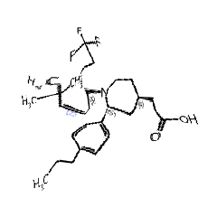 CCCc1ccc([C@@H]2C[C@H](CC(=O)O)CCN2[C@H](/C=C\C(C)(C)C)CCC(F)(F)F)cc1